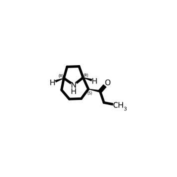 CCC(=O)[C@H]1CCC[C@@H]2CC[C@H]1N2